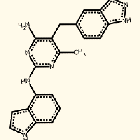 Cc1nc(Nc2cccc3[nH]ccc23)nc(N)c1Cc1ccc2[nH]ncc2c1